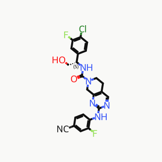 N#Cc1ccc(Nc2ncc3c(n2)CN(C(=O)N[C@H](CO)c2ccc(Cl)c(F)c2)CC3)c(F)c1